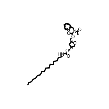 CCCCCCCCCCCCCCCCCNC(=O)OC[C@H]1CO[C@H](COC(=O)N(Cc2ccccn2)C(C)=O)C1